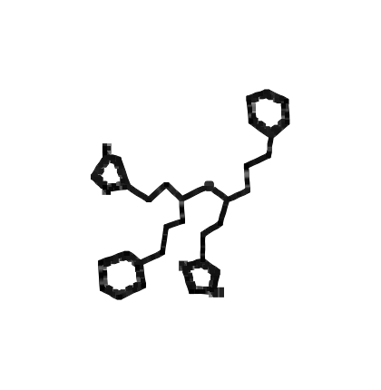 c1ccc(CCCC(CCc2c[nH]cn2)OC(CCCc2ccccc2)CCc2c[nH]cn2)cc1